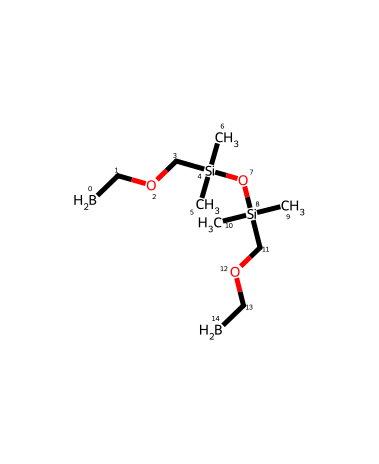 BCOC[Si](C)(C)O[Si](C)(C)COCB